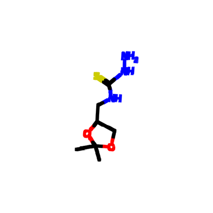 CC1(C)OCC(CNC(=S)NN)O1